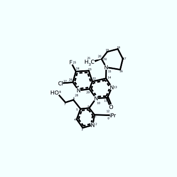 CC(C)c1nccc(CCO)c1-n1c(=O)nc(N2CCCC[C@@H]2C)c2cc(F)c(Cl)nc21